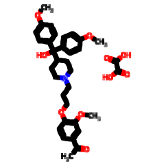 COc1ccc(C(O)(c2ccc(OC)cc2)C2CCN(CCCOc3ccc(C(C)=O)cc3OC)CC2)cc1.O=C(O)C(=O)O